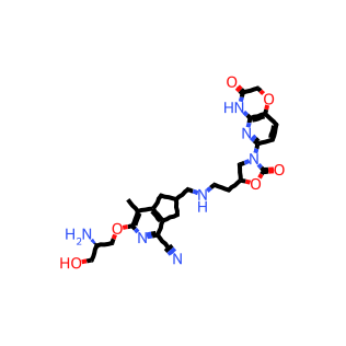 Cc1c(OC[C@H](N)CO)nc(C#N)c2c1CC(CNCCC1CN(c3ccc4c(n3)NC(=O)CO4)C(=O)O1)C2